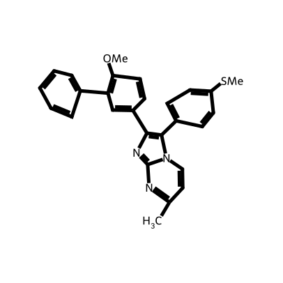 COc1ccc(-c2nc3nc(C)ccn3c2-c2ccc(SC)cc2)cc1-c1ccccc1